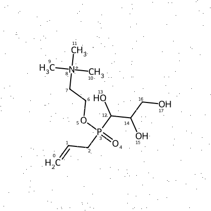 C=CCP(=O)(OCC[N+](C)(C)C)C(O)C(O)CO